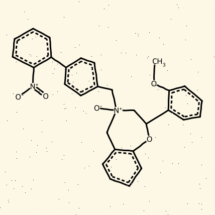 COc1ccccc1C1C[N+]([O-])(Cc2ccc(-c3ccccc3[N+](=O)[O-])cc2)Cc2ccccc2O1